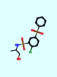 CC(CO)NS(=O)(=O)c1cc(S(=O)(=O)c2ccccc2)ccc1Cl